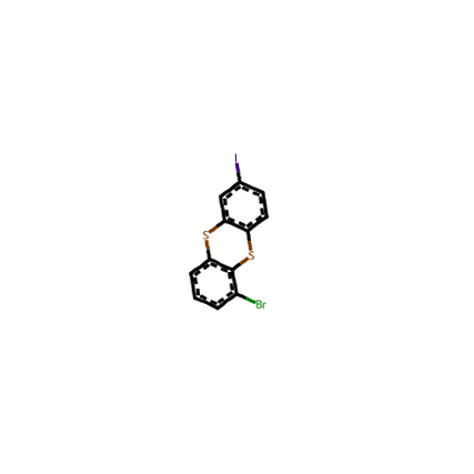 Brc1cccc2c1Sc1ccc(I)cc1S2